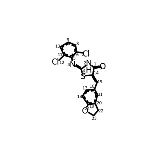 O=C1N/C(=N\c2c(Cl)cccc2Cl)S/C1=C\c1ccc2c(c1)CCO2